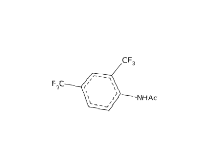 CC(=O)Nc1ccc(C(F)(F)F)cc1C(F)(F)F